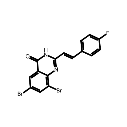 O=c1[nH]c(C=Cc2ccc(F)cc2)nc2c(Br)cc(Br)cc12